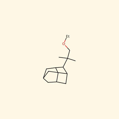 CCOCC(C)(C)C1C2CC3CC(C2)CC1C3